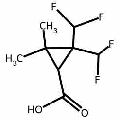 CC1(C)C(C(=O)O)C1(C(F)F)C(F)F